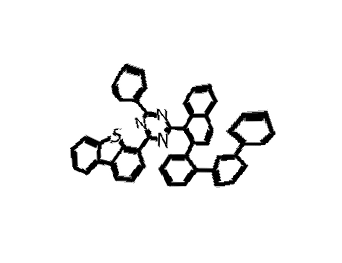 c1ccc(-c2cccc(-c3ccccc3-c3ccc4ccccc4c3-c3nc(-c4ccccc4)nc(-c4cccc5c4sc4ccccc45)n3)c2)cc1